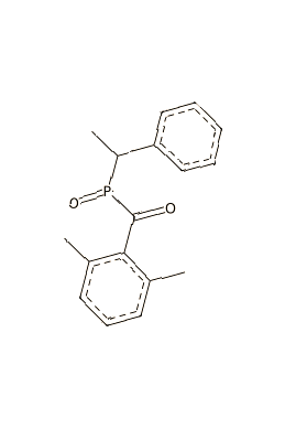 Cc1cccc(C)c1C(=O)[P](=O)C(C)c1ccccc1